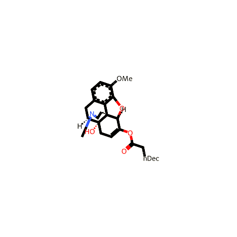 CCCCCCCCCCCC(=O)OC1=CC[C@@]2(O)[C@H]3Cc4ccc(OC)c5c4[C@@]2(CCN3C)[C@H]1O5